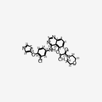 CC(Oc1cccc2ncnc(Nc3ccc(Oc4cncs4)c(Cl)c3)c12)C(=O)N1CCOCC1